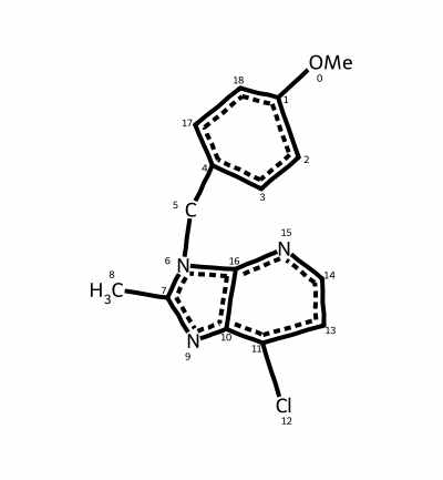 COc1ccc(Cn2c(C)nc3c(Cl)ccnc32)cc1